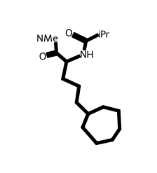 CNC(=O)C(CCCC1CCCCCC1)NC(=O)C(C)C